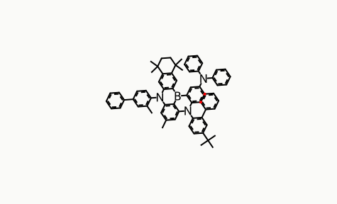 Cc1cc2c3c(c1)N(c1ccc(C(C)(C)C)cc1-c1ccccc1)c1ccc(N(c4ccccc4)c4ccccc4)cc1B3c1cc3c(cc1N2c1ccc(-c2ccccc2)cc1C)C(C)(C)CCC3(C)C